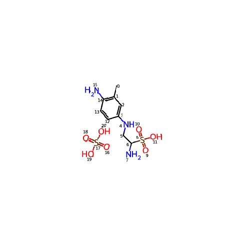 Cc1cc(NCC(N)S(=O)(=O)O)ccc1N.O=S(=O)(O)O